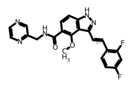 COc1c(C(=O)NCc2cnccn2)ccc2[nH]nc(/C=C/c3ccc(F)cc3F)c12